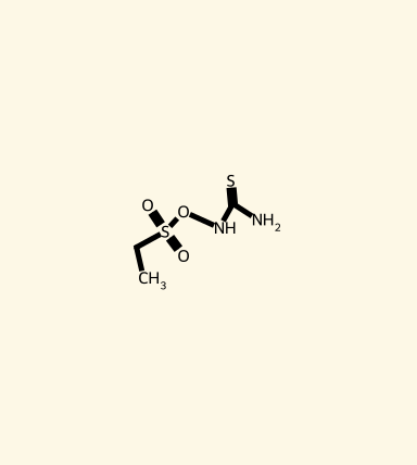 CCS(=O)(=O)ONC(N)=S